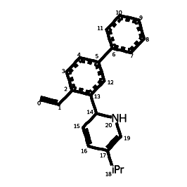 C=Cc1ccc(-c2ccccc2)cc1C1C=CC(C(C)C)=CN1